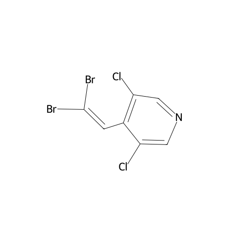 Clc1cncc(Cl)c1C=C(Br)Br